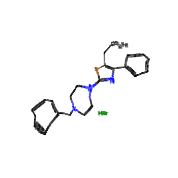 Br.O=C(O)Cc1sc(N2CCN(Cc3ccccc3)CC2)nc1-c1ccccc1